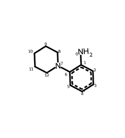 Nc1cc[c]cc1N1CCCCC1